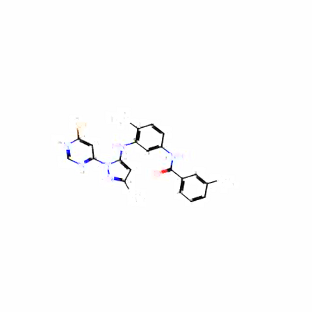 Cc1cccc(C(=O)Nc2ccc(C)c(Nc3cc(C)nn3-c3cc(S)ncn3)c2)c1